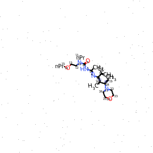 C=C(CC)C(/N=C(\C)NC(=O)N(CCC)CCOCCC)=C(C)\C(=C/C)N1CCOCC1